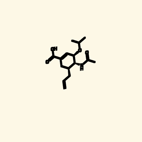 C=CC[C@H]1CC(C(=O)O)=C[C@@H](OC(C)C)[C@@H]1NC(C)=O